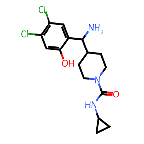 NC(c1cc(Cl)c(Cl)cc1O)C1CCN(C(=O)NC2CC2)CC1